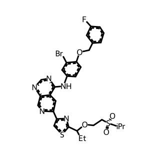 CCC(OCCS(=O)(=O)C(C)C)c1nc(-c2cc3c(Nc4ccc(OCc5cccc(F)c5)c(Br)c4)ncnc3cn2)cs1